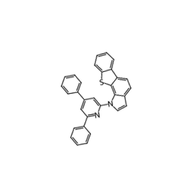 c1ccc(-c2cc(-c3ccccc3)nc(-n3ccc4ccc5c6ccccc6sc5c43)c2)cc1